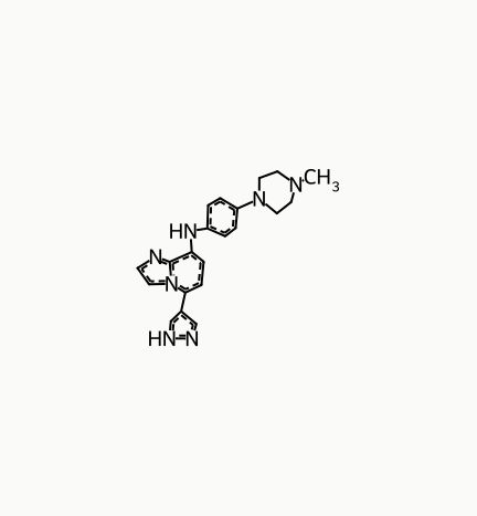 CN1CCN(c2ccc(Nc3ccc(-c4cn[nH]c4)n4ccnc34)cc2)CC1